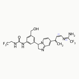 C=C(/C=C\N=C(/N)C(F)(F)F)C1=CC2=NCC(c3cc(CO)cc(NC(=O)NCC(F)(F)F)c3)N2C=C1